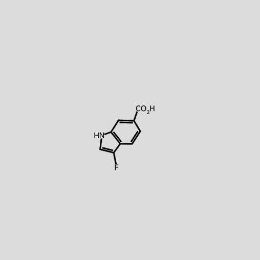 O=C(O)c1ccc2c(F)c[nH]c2c1